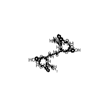 CN1C(=O)C(Cc2ccc(O)cc2)NC(=O)CNC(=O)[C@H](Cc2ccc3ccccc3c2)NC(=O)[C@H](CCCNC(=N)N)NC(=O)C1CCCNC(=O)CCCCC(=O)NCCCC1C(=O)N[C@@H](CCCNC(=N)N)C(=O)N[C@@H](Cc2ccc3ccccc3c2)C(=O)NCC(=O)NC(Cc2ccc(O)cc2)C(=O)N1C